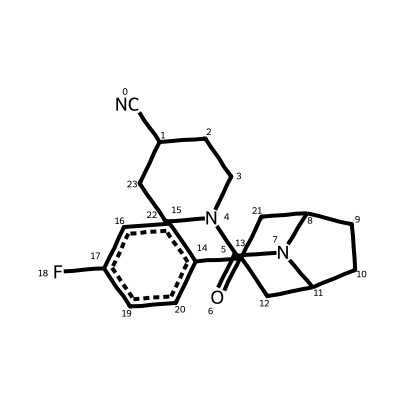 N#CC1CCN(C(=O)N2C3CCC2CC(c2ccc(F)cc2)C3)CC1